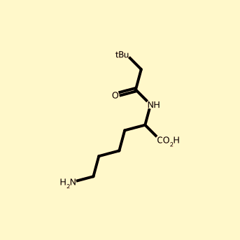 CC(C)(C)CC(=O)NC(CCCCN)C(=O)O